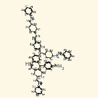 Nc1ccc(C2c3cc(C(c4ccc(/N=C/C5CCC(/C=N/c6ccccc6)CC5)cc4)C4CCC(/C=N/c5ccccc5)CC4)ccc3NCC3CC(/C=N/c4ccccc4)CCC32)cc1